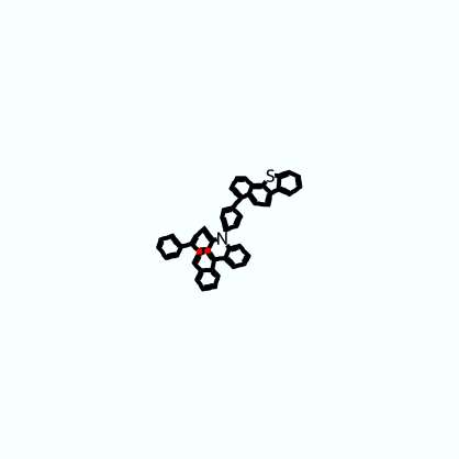 c1ccc(-c2ccc(N(c3ccc(-c4cccc5c4ccc4c6ccccc6sc54)cc3)c3ccccc3-c3cccc4ccccc34)cc2)cc1